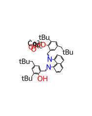 CC(=O)[O-].CC(=O)[O-].CC(C)(C)Cc1cc(C=Nc2cccc3cccc(N=Cc4cc(CC(C)(C)C)cc(C(C)(C)C)c4O)c23)c(O)c(C(C)(C)C)c1.[Co+2]